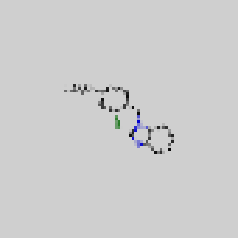 CCOC(=O)c1ccc(Cn2cnc3ccccc32)c(Br)c1